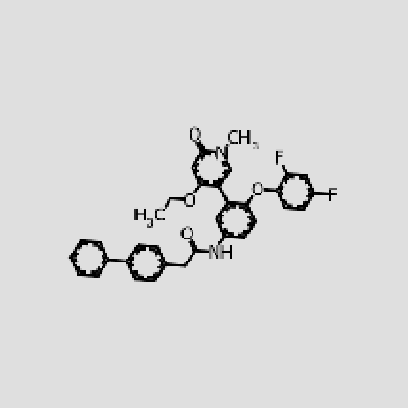 CCOc1cc(=O)n(C)cc1-c1cc(NC(=O)Cc2ccc(-c3ccccc3)cc2)ccc1Oc1ccc(F)cc1F